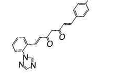 O=C(C=Cc1ccc(O)cc1)CC(=O)C=Cc1ccccc1-n1cncn1